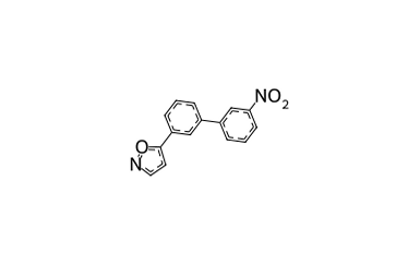 O=[N+]([O-])c1cccc(-c2cccc(-c3ccno3)c2)c1